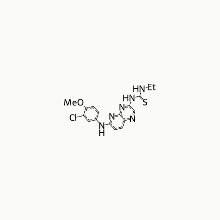 CCNC(=S)Nc1cnc2ccc(Nc3ccc(OC)c(Cl)c3)nc2n1